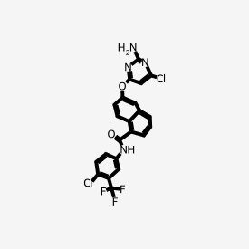 Nc1nc(Cl)cc(Oc2ccc3c(C(=O)Nc4ccc(Cl)c(C(F)(F)F)c4)cccc3c2)n1